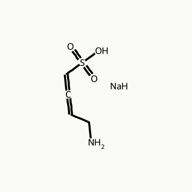 NCC=C=CS(=O)(=O)O.[NaH]